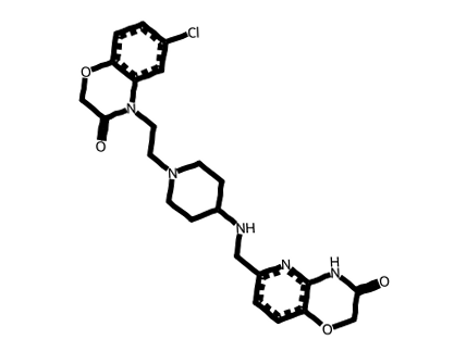 O=C1COc2ccc(CNC3CCN(CCN4C(=O)COc5ccc(Cl)cc54)CC3)nc2N1